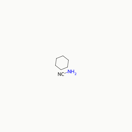 C1CCCCC1.N#CN